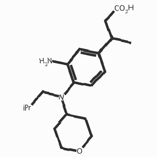 CC(C)CN(c1ccc(C(C)CC(=O)O)cc1N)C1CCOCC1